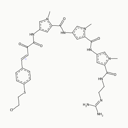 Cn1cc(NC(=O)c2cc(NC(=O)c3cc(NC(=O)C(=O)/C=C/c4ccc(SCCCl)cc4)cn3C)cn2C)cc1C(=O)NCCN=C(N)N